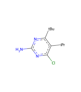 CC(C)c1c(Cl)nc(N)nc1C(C)(C)C